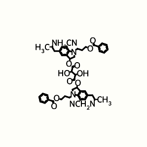 C[C@@H](N)Cc1cc(C#N)c2c(c1)C(OC(=O)C(O)C(O)C(=O)OC1CN(CCCOC(=O)c3ccccc3)c3c(C#N)cc(C[C@@H](C)N)cc31)CN2CCCOC(=O)c1ccccc1